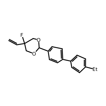 C=CC1(F)COC(c2ccc(-c3ccc(CC)cc3)cc2)OC1